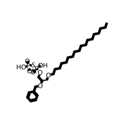 CCCCCCCCCCCCCCCCCCOC[C@H](COP(=O)(O)SP(=O)(O)O)OCc1ccccc1